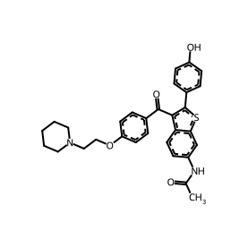 CC(=O)Nc1ccc2c(C(=O)c3ccc(OCCN4CCCCC4)cc3)c(-c3ccc(O)cc3)sc2c1